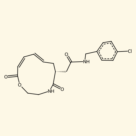 O=C(C[C@H]1C/C=C/C=C\C(=O)OCCNC1=O)NCc1ccc(Cl)cc1